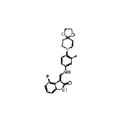 Cc1cc(NC=C2C(=O)Nc3cccc(F)c32)ccc1N1CCC2(CC1)OCCO2